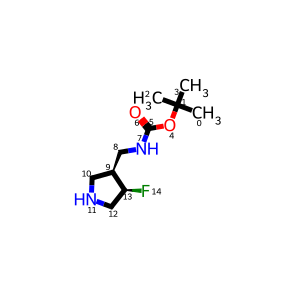 CC(C)(C)OC(=O)NC[C@@H]1CNC[C@@H]1F